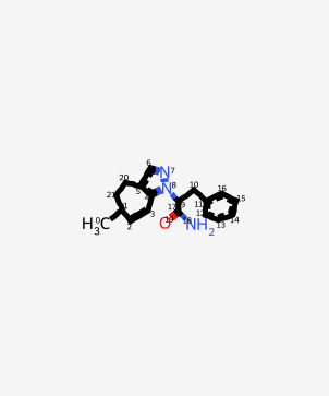 CC1C=Cc2c(cnn2C(Cc2ccccc2)C(N)=O)CC1